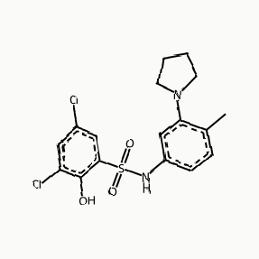 Cc1ccc(NS(=O)(=O)c2cc(Cl)cc(Cl)c2O)cc1N1CCCC1